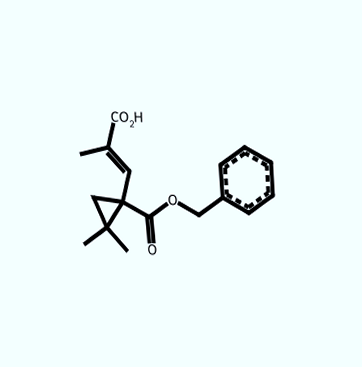 CC(=CC1(C(=O)OCc2ccccc2)CC1(C)C)C(=O)O